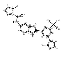 Cc1oncc1C(=O)Nc1ccc2[nH]c(-c3cc(-n4cncc4C)cc(C(F)(F)F)c3)nc2c1